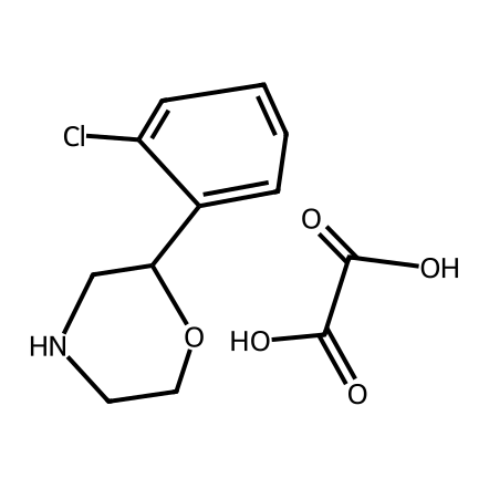 Clc1ccccc1C1CNCCO1.O=C(O)C(=O)O